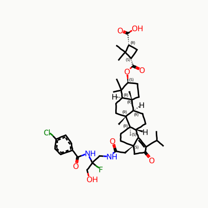 CC(C)C1=C2[C@H]3CC[C@@H]4[C@@]5(C)CC[C@H](OC(=O)[C@H]6C[C@@H](C(=O)O)C6(C)C)C(C)(C)[C@@H]5CC[C@@]4(C)[C@]3(C)CC[C@@]2(CC(=O)NCC(F)(CO)NC(=O)c2ccc(Cl)cc2)CC1=O